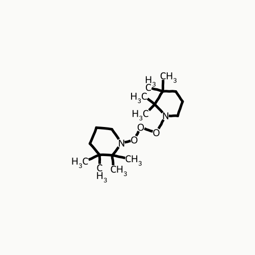 CC1(C)CCCN(OOON2CCCC(C)(C)C2(C)C)C1(C)C